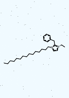 CCCCCCCCCCCCCCCn1cc[n+](CC)c1Cc1ccccc1